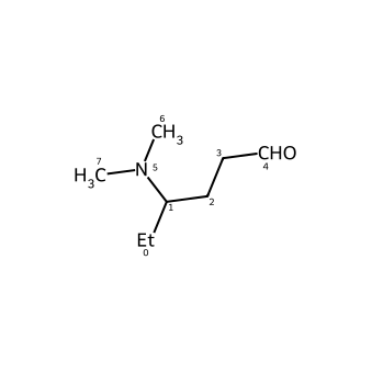 CCC(CCC=O)N(C)C